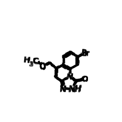 COCc1cc2n[nH]c(=O)n2c2cc(Br)ccc12